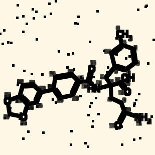 Cc1cccc(C[C@@](CCC(N)=O)(NC(=O)c2ccc(-c3ccc4c(c3)OCO4)cc2)C(=O)O)c1